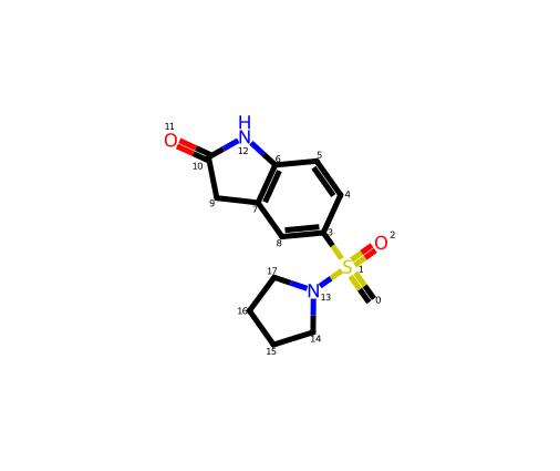 C=S(=O)(c1ccc2c(c1)CC(=O)N2)N1CCCC1